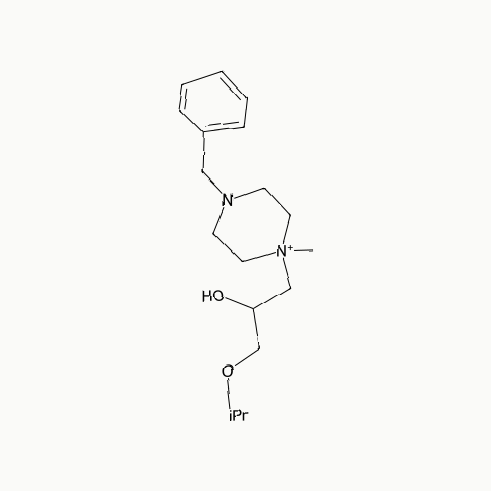 CC(C)OCC(O)C[N+]1(C)CCN(Cc2ccccc2)CC1